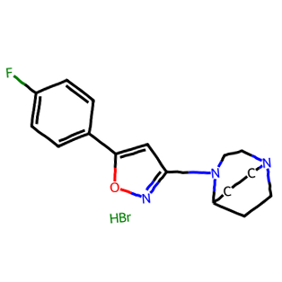 Br.Fc1ccc(-c2cc(N3CCN4CCC3CC4)no2)cc1